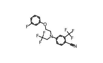 N#Cc1ccc(N(CCOc2cccc(F)c2)CC(F)(F)F)cc1C(F)(F)F